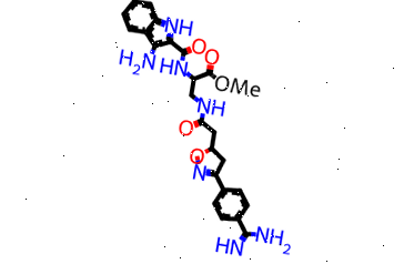 COC(=O)C(CNC(=O)CC1CC(c2ccc(C(=N)N)cc2)=NO1)NC(=O)c1[nH]c2ccccc2c1N